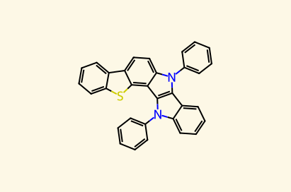 c1ccc(-n2c3ccc4c5ccccc5sc4c3c3c2c2ccccc2n3-c2ccccc2)cc1